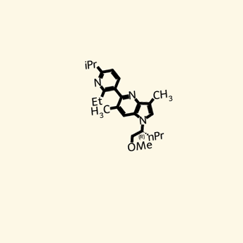 CCC[C@H](COC)n1cc(C)c2nc(-c3ccc(C(C)C)nc3CC)c(C)cc21